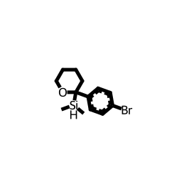 C[SiH](C)C1(c2ccc(Br)cc2)CCCCO1